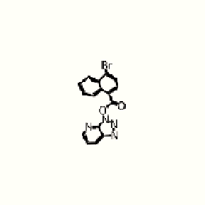 O=C(On1nnc2cccnc21)c1ccc(Br)c2ccccc12